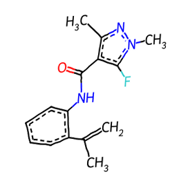 C=C(C)c1ccccc1NC(=O)c1c(C)nn(C)c1F